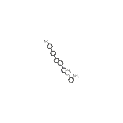 N#Cc1ccc(-c2ccc(-c3ccc4cc(C(/C=C\CCSC5=CCCC=C5N)=C/N)ccc4c3)cc2)cc1